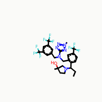 CCC(c1ccc(C(F)(F)F)cc1CN(Cc1cc(C(F)(F)F)cc(C(F)(F)F)c1)c1nnn(C)n1)N1CCC(C)(O)C1